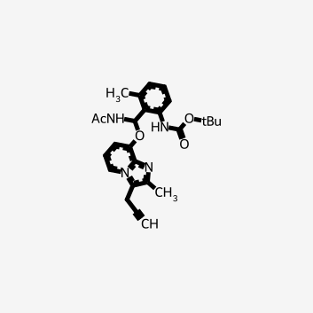 C#CCc1c(C)nc2c(OC(NC(C)=O)c3c(C)cccc3NC(=O)OC(C)(C)C)cccn12